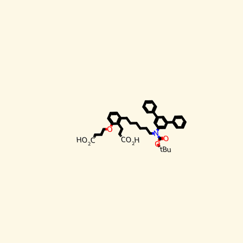 CC(C)(C)OC(=O)N(CCCCCCc1cccc(OCCCC(=O)O)c1CCC(=O)O)c1cc(-c2ccccc2)cc(-c2ccccc2)c1